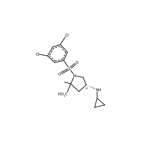 CC1(C(=O)O)C[C@@H](NC2CC2)CN1S(=O)(=O)c1cc(Cl)cc(Cl)c1